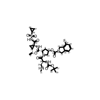 C=C[C@@H]1C[C@]1(NC(=O)[C@@H]1C[C@@H](OC(=O)N2Cc3cccc(F)c3C2)CN1C(=O)[C@H](CNC)NC(=O)OC(C)(C)C)C(=O)NS(=O)(=O)C1CC1